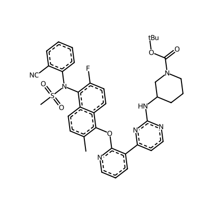 Cc1ccc2c(N(c3ccccc3C#N)S(C)(=O)=O)c(F)ccc2c1Oc1ncccc1-c1ccnc(NC2CCCN(C(=O)OC(C)(C)C)C2)n1